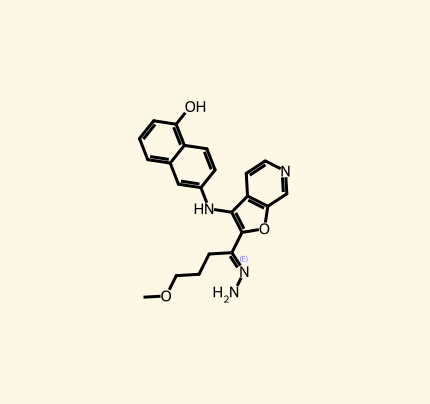 COCCC/C(=N\N)c1oc2cnccc2c1Nc1ccc2c(O)cccc2c1